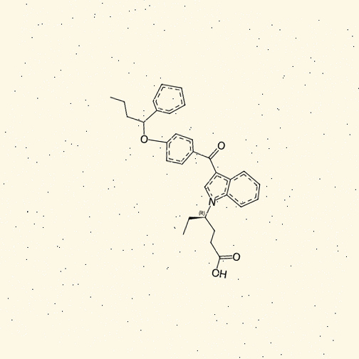 CCCC(Oc1ccc(C(=O)c2cn([C@H](CC)CCC(=O)O)c3ccccc23)cc1)c1ccccc1